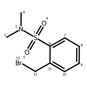 CN(C)S(=O)(=O)c1ccccc1CBr